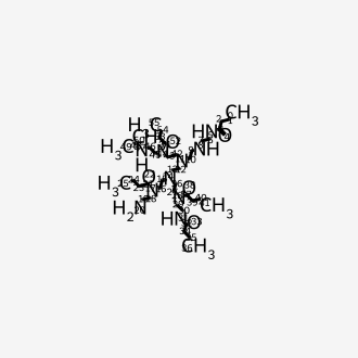 CCCC(=O)NCCNCCN(CCN(CCN(CCN)C(=O)CCC)CCN(CCNC(=O)CCC)C(=O)CCC)CCN(CCNC(C)C)C(=O)CCC